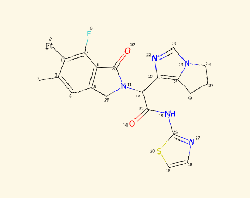 CCc1c(C)cc2c(c1F)C(=O)N(C(C(=O)Nc1nccs1)c1ncn3c1CCC3)C2